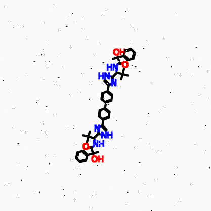 CC(O)(C(=O)N[C@H](c1nc(-c2ccc(-c3ccc(-c4c[nH]c([C@@H](NC(=O)C(C)(O)c5ccccc5)C(C)(C)C)n4)cc3)cc2)c[nH]1)C(C)(C)C)c1ccccc1